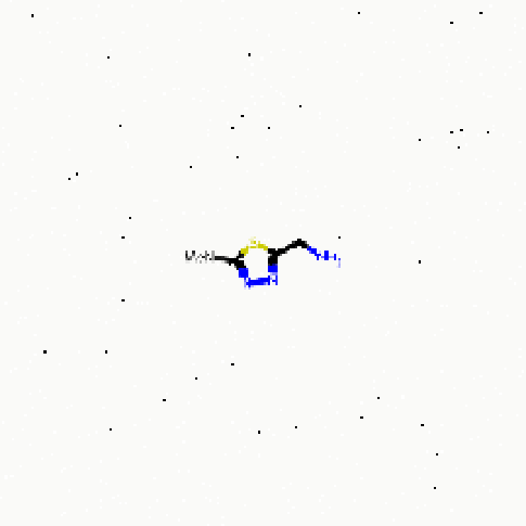 CNc1nnc(CN)s1